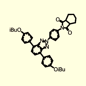 CC(C)COc1ccc(-c2ccc(-c3ccc(OCC(C)C)cc3)c3nn(-c4ccc(N5C(=O)C6CCCCC6C5=O)cc4)nc23)cc1